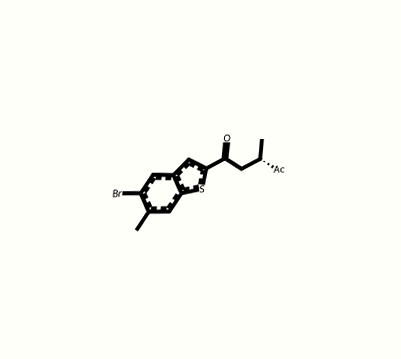 CC(=O)[C@@H](C)CC(=O)c1cc2cc(Br)c(C)cc2s1